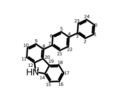 c1ccc(-c2ccc(-c3cccc4[nH]c5ccccc5c34)cc2)cc1